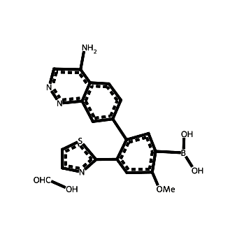 COc1cc(-c2nccs2)c(-c2ccc3c(N)cnnc3c2)cc1B(O)O.O=CO